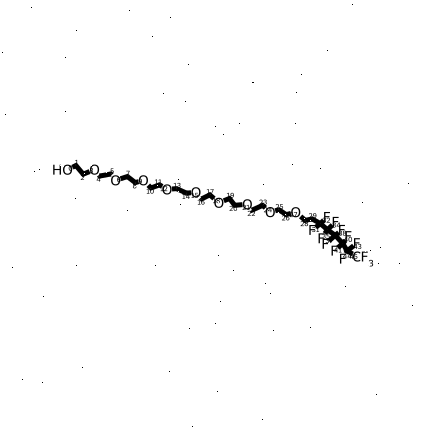 OCCOCCOCCOCCOCCOCCOCCOCCOCCOCCC(F)(F)C(F)(F)C(F)(F)C(F)(F)C(F)(F)C(F)(F)F